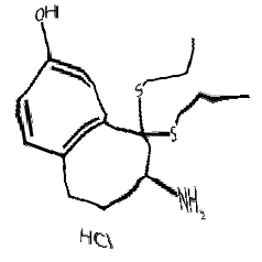 CCSC1(SCC)c2cc(O)ccc2CCC1N.Cl